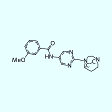 COc1cccc(C(=O)Nc2cnc(N3CCN4CCC3CC4)nc2)c1